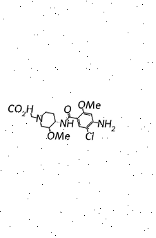 COc1cc(N)c(Cl)cc1C(=O)N[C@H]1CCN(CC(=O)O)C[C@@H]1OC